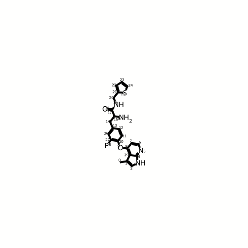 Cc1c[nH]c2nccc(Oc3ccc(CC(N)C(=O)NCc4cccs4)cc3F)c12